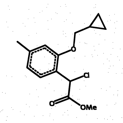 COC(=O)C(Cl)c1ccc(C)cc1OCC1CC1